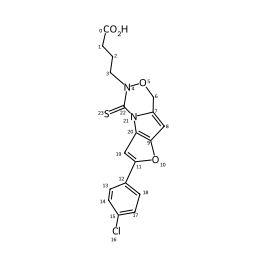 O=C(O)CCCN1OCc2cc3oc(-c4ccc(Cl)cc4)cc3n2C1=S